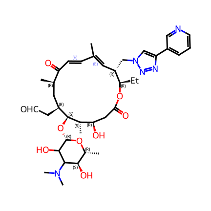 CC[C@H]1OC(=O)C[C@@H](O)[C@H](C)[C@@H](O[C@@H]2O[C@H](C)[C@@H](O)C(N(C)C)C2O)[C@@H](CC=O)C[C@@H](C)C(=O)/C=C/C(C)=C/[C@@H]1Cn1cc(-c2cccnc2)nn1